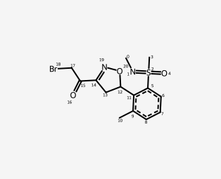 CN=S(C)(=O)c1cccc(C)c1C1CC(C(=O)CBr)=NO1